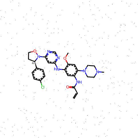 C=CC(=O)Nc1cc(Nc2cc(N3OCC[C@@H]3c3ccc(Cl)cc3)ncn2)c(OC)cc1N1CCN(C)CC1